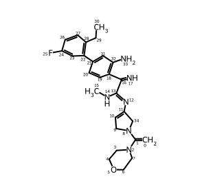 C=C(N1CCOCC1)N1CC=C(/N=C(\NC)C(=N)c2ccc(-c3cc(F)ccc3CC)cc2N)C1